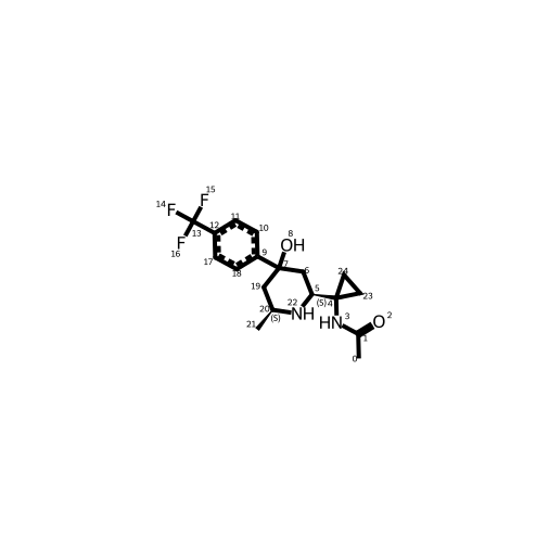 CC(=O)NC1([C@@H]2CC(O)(c3ccc(C(F)(F)F)cc3)C[C@H](C)N2)CC1